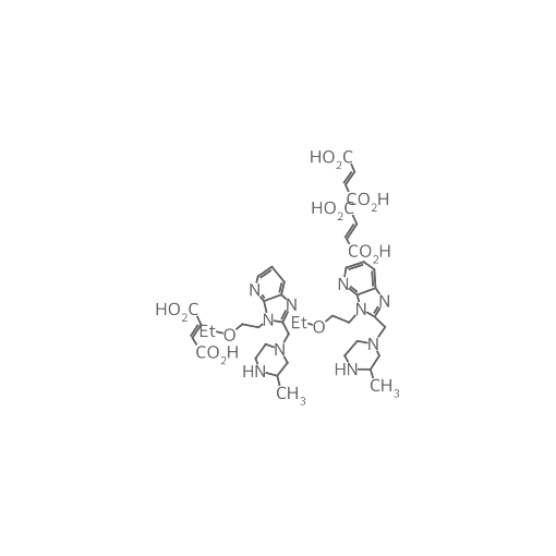 CCOCCn1c(CN2CCNC(C)C2)nc2cccnc21.CCOCCn1c(CN2CCNC(C)C2)nc2cccnc21.O=C(O)C=CC(=O)O.O=C(O)C=CC(=O)O.O=C(O)C=CC(=O)O